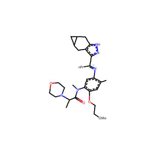 CCC/C(=N\c1cc(N(C)C(=O)C(C)N2CCOCC2)c(OCCOC)cc1C)c1n[nH]c2c1CC1CC1C2